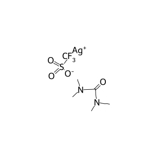 CN(C)C(=O)N(C)C.O=S(=O)([O-])C(F)(F)F.[Ag+]